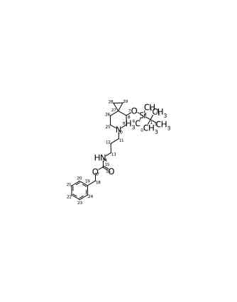 CC(C)(C)[Si](C)(C)OC1CN(CCCNC(=O)OCc2ccccc2)CCC12CC2